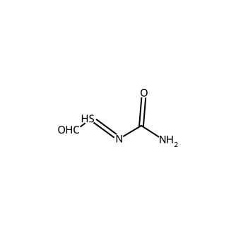 NC(=O)N=[SH]C=O